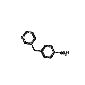 O=C(O)c1ccc(Cc2cccnc2)cc1